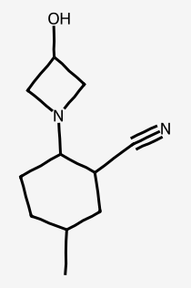 CC1CCC(N2CC(O)C2)C(C#N)C1